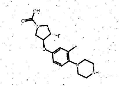 O=C(O)N1C[C@H](Oc2ccc(N3CCNCC3)c(F)c2)[C@@H](F)C1